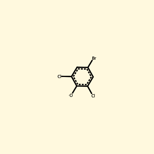 [O]c1c(Cl)cc(Br)cc1Cl